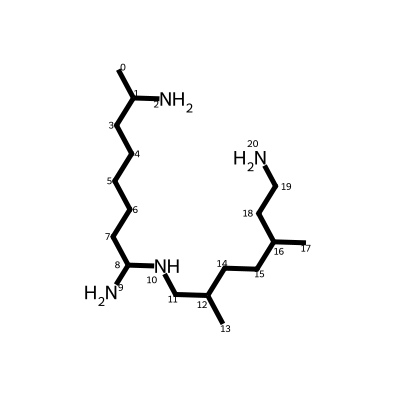 CC(N)CCCCCC(N)NCC(C)CCC(C)CCN